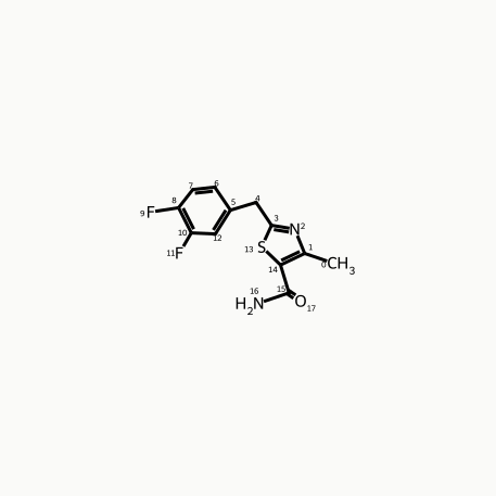 Cc1nc(Cc2ccc(F)c(F)c2)sc1C(N)=O